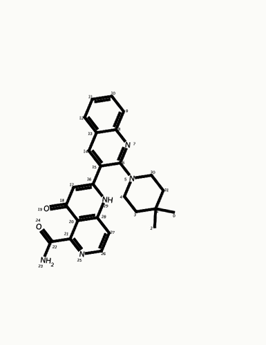 CC1(C)CCN(c2nc3ccccc3cc2-c2cc(=O)c3c(C(N)=O)nccc3[nH]2)CC1